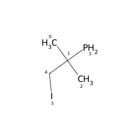 CC(C)(P)CI